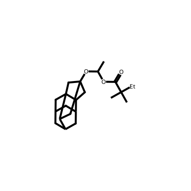 CCC(C)(C)C(=O)OC(C)OC12CC3C4CC5CC(C4)C(C1)C3(C5)C2